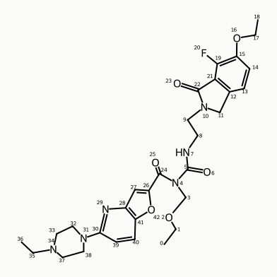 CCOCN(C(=O)NCCN1Cc2ccc(OCC)c(F)c2C1=O)C(=O)c1cc2nc(N3CCN(CC)CC3)ccc2o1